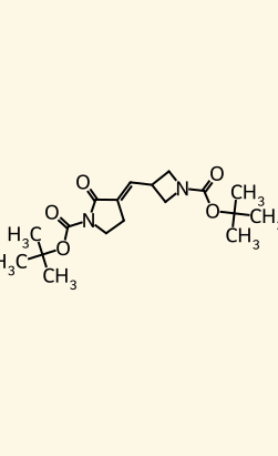 CC(C)(C)OC(=O)N1CC(/C=C2\CCN(C(=O)OC(C)(C)C)C2=O)C1